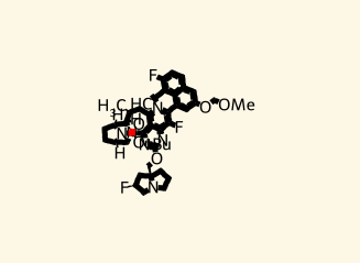 C#Cc1c(F)ccc2cc(OCOC)cc(-c3nc4c5c(nc(OC[C@@]67CCCN6C[C@H](F)C7)nc5c3F)N3C[C@H]5CC[C@@H]([C@@H]3[C@H](C)C4)N5C(=O)OC(C)(C)C)c12